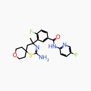 CC1(c2cc(C(=O)Nc3ccc(F)cn3)ccc2F)CC2(CCOCC2)SC(N)=N1